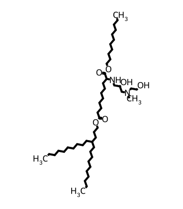 CCCCCCCCCCCOC(=O)C(CCCCCCCC(=O)OCCCC(CCCCCCCCCC)CCCCCCCCCC)NCC(O)CN(C)CCO